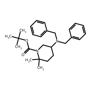 CC(C)(C)OC(=O)N1CC(N(Cc2ccccc2)Cc2ccccc2)CCC1(C)C